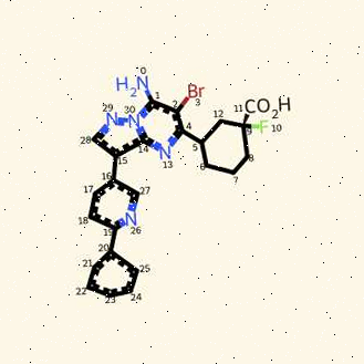 Nc1c(Br)c(C2CCC[C@](F)(C(=O)O)C2)nc2c(-c3ccc(-c4ccccc4)nc3)cnn12